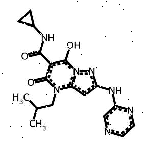 CC(C)Cn1c(=O)c(C(=O)NC2CC2)c(O)n2nc(Nc3cnccn3)cc12